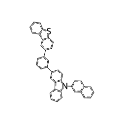 c1cc(-c2ccc3sc4ccccc4c3c2)cc(-c2ccc3c(c2)c2ccccc2n3-c2ccc3ccccc3c2)c1